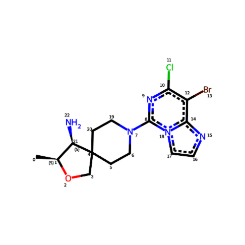 C[C@@H]1OCC2(CCN(c3nc(Cl)c(Br)c4nccn34)CC2)[C@@H]1N